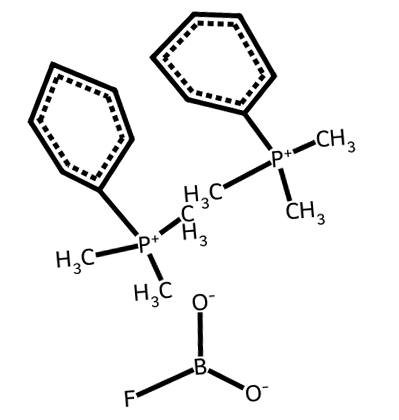 C[P+](C)(C)c1ccccc1.C[P+](C)(C)c1ccccc1.[O-]B([O-])F